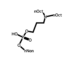 CCCCCCCCCOP(=O)(O)OCCCN(CCCCCCCC)CCCCCCCC